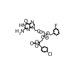 Nc1nc2c(ncn2CCOCP(=O)(OCc2cccc(F)c2)OCc2oc(=O)oc2-c2ccc(Cl)cc2)c(=O)[nH]1